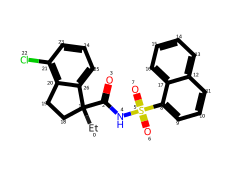 CCC1(C(=O)NS(=O)(=O)c2cccc3ccccc23)CCc2c(Cl)cccc21